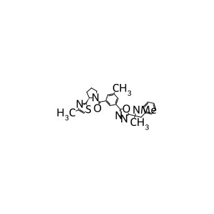 CN[C@](C)(Cc1ccccc1)c1nnc(-c2cc(C)cc(C(=O)N3CCC[C@@H]3c3nc(C)cs3)c2)o1